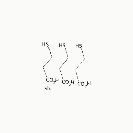 O=C(O)CCS.O=C(O)CCS.O=C(O)CCS.[Sb]